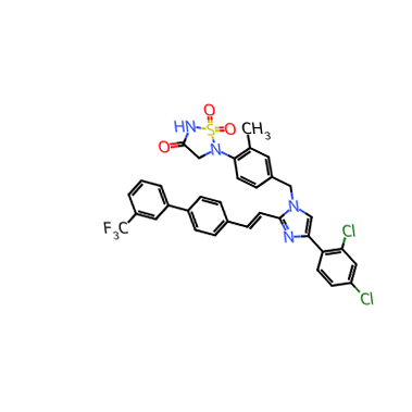 Cc1cc(Cn2cc(-c3ccc(Cl)cc3Cl)nc2C=Cc2ccc(-c3cccc(C(F)(F)F)c3)cc2)ccc1N1CC(=O)NS1(=O)=O